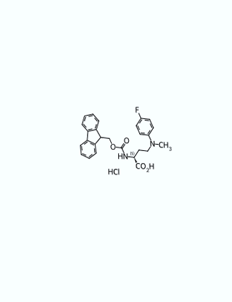 CN(CC[C@H](NC(=O)OCC1c2ccccc2-c2ccccc21)C(=O)O)c1ccc(F)cc1.Cl